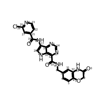 O=C1COc2ccc(CNC(=O)c3ncnc4c(NC(=O)c5ccnc(Cl)c5)c[nH]c34)cc2N1